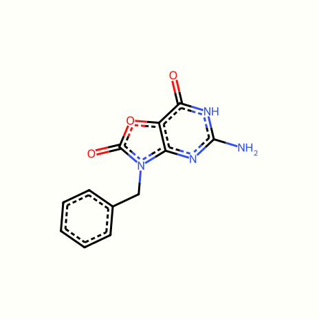 Nc1nc2c(oc(=O)n2Cc2ccccc2)c(=O)[nH]1